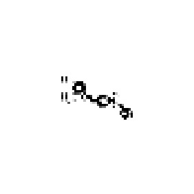 Cc1ccc(OCCC2CCN(C(=O)OCc3cncs3)CC2)c(C)c1